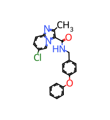 Cc1nc2ccc(Cl)cn2c1C(=O)NCc1ccc(Oc2ccccc2)cc1